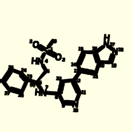 CS(=O)(=O)NC[C@@H](Nc1cncc(-c2ccc3[nH]ncc3c2)c1)c1ccccc1